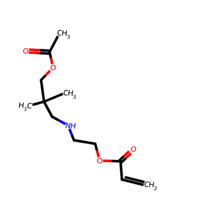 C=CC(=O)OCCNCC(C)(C)COC(C)=O